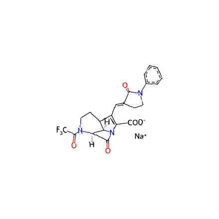 O=C([O-])C1=C(/C=C2\CCN(c3ccccc3)C2=O)C2CCN(C(=O)C(F)(F)F)[C@@H]3C(=O)N1[C@H]23.[Na+]